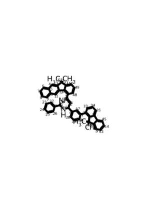 CC1(C)c2cc3ccccc3cc2-c2c(/C=C/C(NC(N)c3ccccc3)c3cccc(-c4cccc5c4C(C)(C)c4ccccc4-5)c3)cccc21